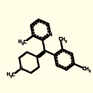 Cc1ccc(C(=C2CCN(C)CC2)c2ncccc2C)c(C)c1